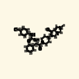 CN1C=C2C(=O)N(N3CCN(C(=O)[C@@H](NC(=O)Nc4ccc(Cl)cc4)c4ccccc4)CC3)CN2C1